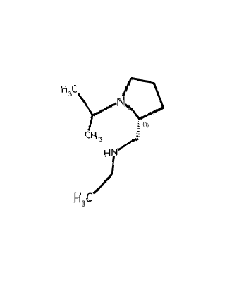 CCNC[C@H]1CCCN1C(C)C